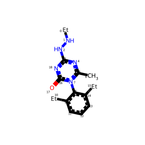 CCNNc1nc(C)n(-c2c(CC)cccc2CC)c(=O)n1